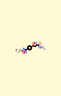 NC(=O)C1=NOC(c2ccc(-c3noc(C(F)(F)F)n3)cc2)C1